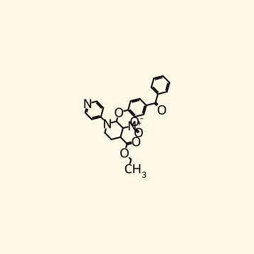 CCOC(=O)C1CCN(c2ccncc2)C(Oc2ccc(C(=O)c3ccccc3)cc2)C1[N+](=O)[O-]